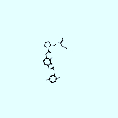 Cc1ccc(F)cc1Nc1nc2ccc(CC(=O)N3CCC[C@H]3CO/C(=C\N)CCC(=O)O)c(F)c2o1